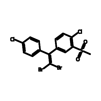 CS(=O)(=O)c1cc(C(=C(Br)Br)c2ccc(Cl)cc2)ccc1Cl